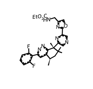 CCOC(=O)NCc1coc(-c2cncc([C@@]3(C)c4nnc(-c5c(F)cccc5F)cc4[C@H](C)CC3(C)C)n2)n1